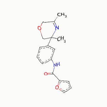 CC1=NC(C)(c2cccc(NC(=O)c3ccco3)c2)COC1